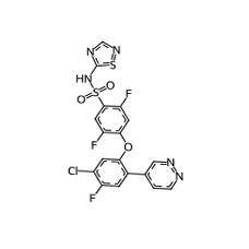 O=S(=O)(Nc1ncns1)c1cc(F)c(Oc2cc(Cl)c(F)cc2-c2ccnnc2)cc1F